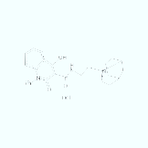 CC(C)n1c(=O)c(C(=O)NCCN2C3CC4CC(C3)CC2C4)c(O)c2ccccc21.Cl